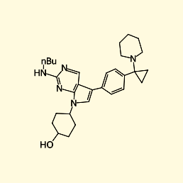 CCCCNc1ncc2c(-c3ccc(C4(N5CCCCC5)CC4)cc3)cn(C3CCC(O)CC3)c2n1